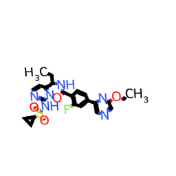 CCOc1cncc(-c2ccc(C(=O)NC(CC)c3ccnc(NS(=O)(=O)C4CC4)n3)c(F)c2)n1